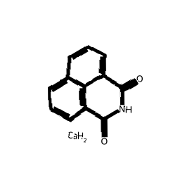 O=C1NC(=O)c2cccc3cccc1c23.[CaH2]